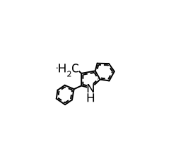 [CH2]c1c(-c2ccccc2)[nH]c2ccccc12